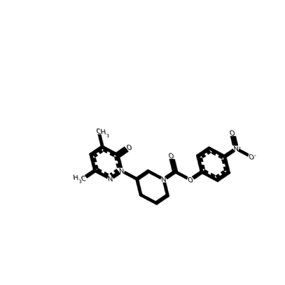 Cc1cc(C)c(=O)n(C2CCCN(C(=O)Oc3ccc([N+](=O)[O-])cc3)C2)n1